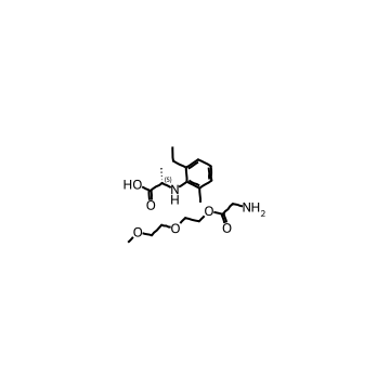 CCc1cccc(C)c1N[C@@H](C)C(=O)O.COCCOCCOC(=O)CN